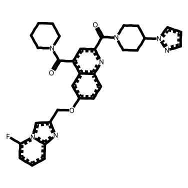 O=C(c1cc(C(=O)N2CCCCC2)c2cc(OCc3cn4c(F)cccc4n3)ccc2n1)N1CCC(n2cccn2)CC1